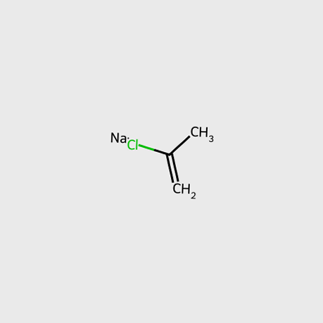 C=C(C)Cl.[Na]